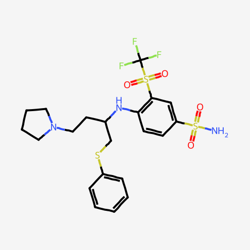 NS(=O)(=O)c1ccc(NC(CCN2CCCC2)CSc2ccccc2)c(S(=O)(=O)C(F)(F)F)c1